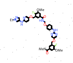 CCn1cc(Nc2ccc(OCc3cc(C(=O)NCOc4ccc(Nc5ncc(OCc6cc(C(=O)NC)cc(OC)c6F)cn5)cc4)cc(OC)c3F)cn2)cn1